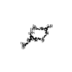 CCNC(=O)c1cc(-c2cn(CCCO[PH](=O)OCCCn3cc(-c4cc(C(=O)NCC)cc(-c5cn(CCCP(=O)(OCC)OCC)nn5)n4)nn3)nn2)nc(-c2cn(CCCP(=O)(OCC)OCC)nn2)c1